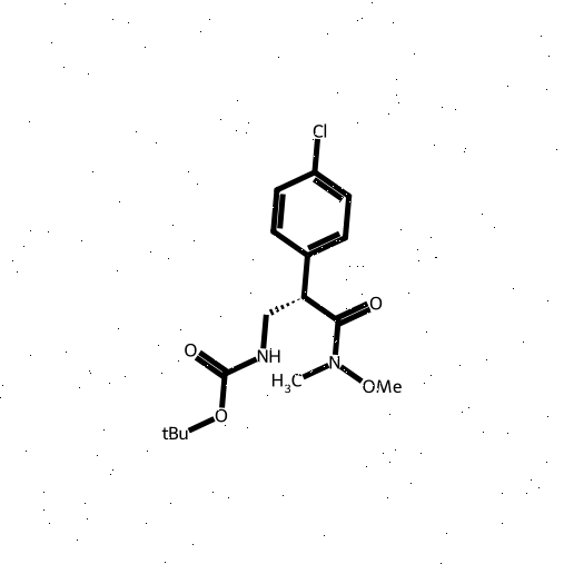 CON(C)C(=O)[C@H](CNC(=O)OC(C)(C)C)c1ccc(Cl)cc1